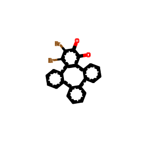 O=c1c(Br)c(Br)c2c3ccccc3c3ccccc3c3ccccc3c=2c1=O